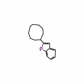 C1=C(C2CCCCCCCC2)[P]c2ccccc21